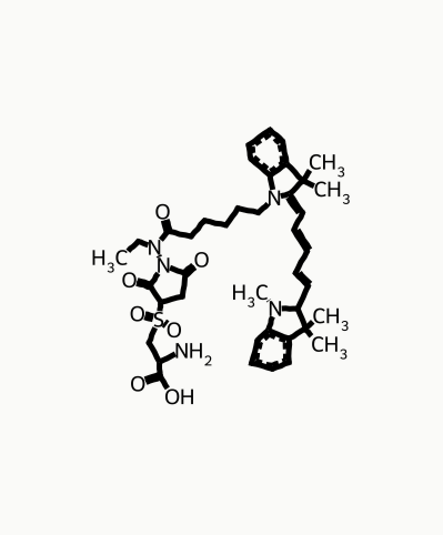 CCN(C(=O)CCCCCN1C(=CC=CC=CC2N(C)c3ccccc3C2(C)C)C(C)(C)c2ccccc21)N1C(=O)CC(S(=O)(=O)CC(N)C(=O)O)C1=O